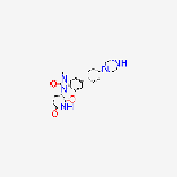 Cn1c(=O)n(C2CCC(=O)NC2=O)c2ccc([C@H]3CC[C@@H](N4CCNCC4)CC3)cc21